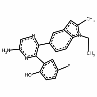 CCn1c(C)cc2cc(-c3ncc(N)nc3-c3cc(F)ccc3O)ccc21